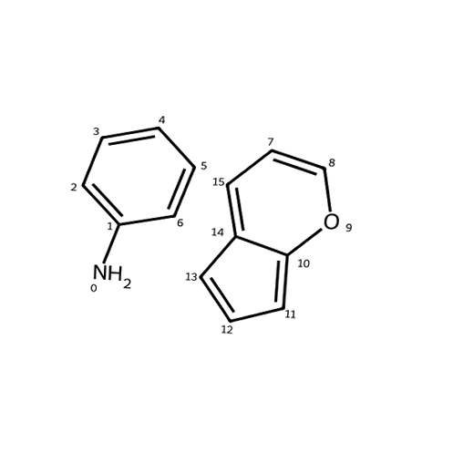 Nc1ccccc1.c1coc2cccc-2c1